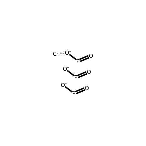 O=P[O-].O=P[O-].O=P[O-].[Cr+3]